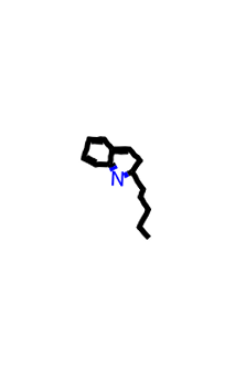 CCCCCC1CC=c2ccccc2=N1